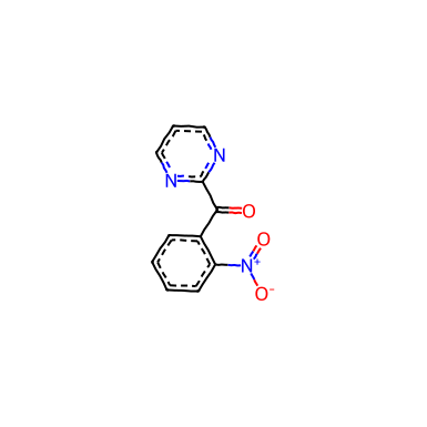 O=C(c1ncccn1)c1ccccc1[N+](=O)[O-]